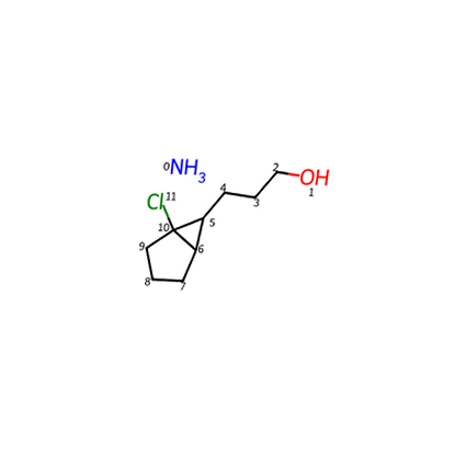 N.OCCCC1C2CCCC12Cl